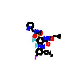 Cc1cc(I)ccc1Nc1c(C(=O)NOCC2CC2)cc(S(=O)(=O)NCc2ccccn2)c(F)c1F